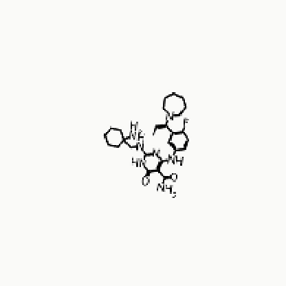 CC=C(c1cc(Nc2nc(NCC3(N)CCCCC3)[nH]c(=O)c2C(N)=O)ccc1F)N1CCCCCC1